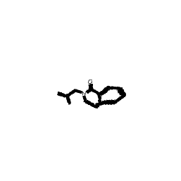 CC(C)Cn1ccc2ccccc2c1=O